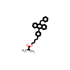 C=C(C)C(=O)OCCCCc1ccc(-c2c3ccccc3c(Cc3ccccc3)c3ccccc23)cc1